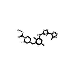 Cc1cc(CN2CCN(C(=O)OC(C)(C)C)[C@@H](C)C2)c(C)c(Nc2nnc(-c3nonc3C)o2)c1